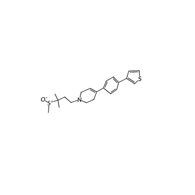 C[S+]([O-])C(C)(C)CCN1CC=C(c2ccc(-c3ccsc3)cc2)CC1